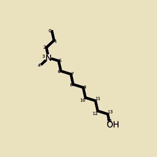 CCCN(C)CCCCCCCCCO